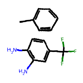 Cc1ccccc1.Nc1ccc(C(F)(F)F)cc1N